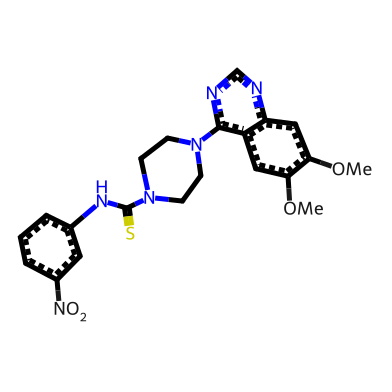 COc1cc2ncnc(N3CCN(C(=S)Nc4cccc([N+](=O)[O-])c4)CC3)c2cc1OC